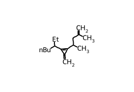 C=C(C)CC(C)C1=C(C(CC)CCCC)C1=C